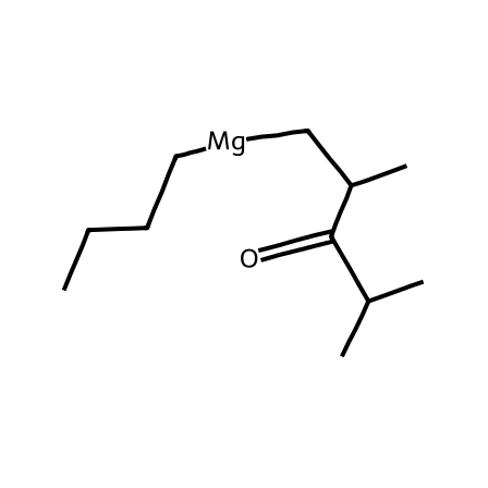 CCC[CH2][Mg][CH2]C(C)C(=O)C(C)C